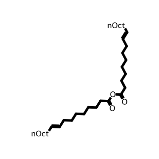 CCCCCCCC/C=C/CCCCCCCC(=O)OC(=O)CCCCCCC/C=C/CCCCCCCC